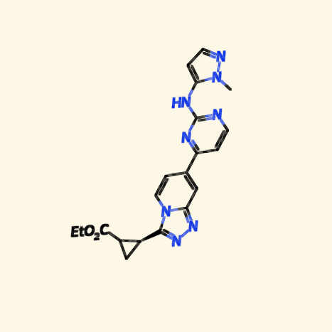 CCOC(=O)C1C[C@@H]1c1nnc2cc(-c3ccnc(Nc4ccnn4C)n3)ccn12